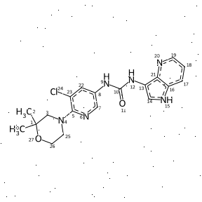 CC1(C)CN(c2ncc(NC(=O)Nc3c[nH]c4cccnc34)cc2Cl)CCO1